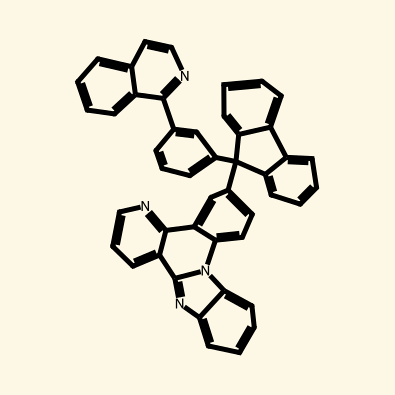 c1cc(-c2nccc3ccccc23)cc(C2(c3ccc4c(c3)c3ncccc3c3nc5ccccc5n43)c3ccccc3-c3ccccc32)c1